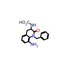 Nc1cccc2c1N(Cc1ccccc1)C(=O)C(NC(=O)O)C2